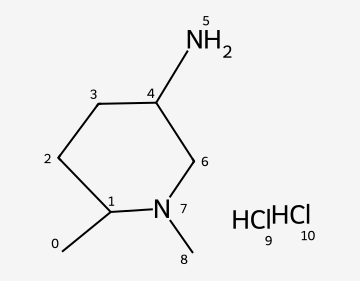 CC1CCC(N)CN1C.Cl.Cl